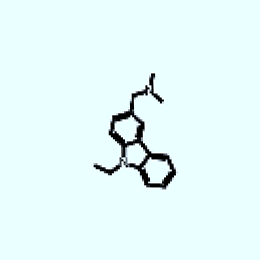 CCn1c2ccccc2c2cc(CN(C)C)ccc21